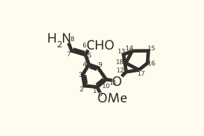 COc1ccc(C(C=O)=CN)cc1OC1CC2CCC1C2